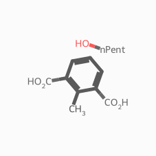 CCCCCO.Cc1c(C(=O)O)cccc1C(=O)O